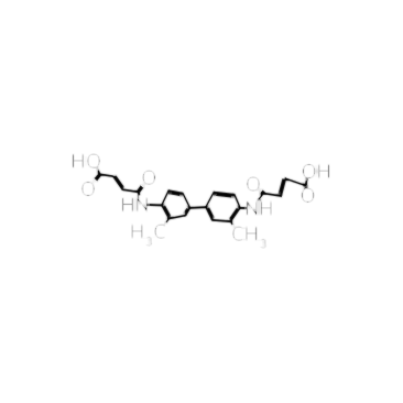 Cc1cc(-c2ccc(NC(=O)/C=C/C(=O)O)c(C)c2)ccc1NC(=O)/C=C/C(=O)O